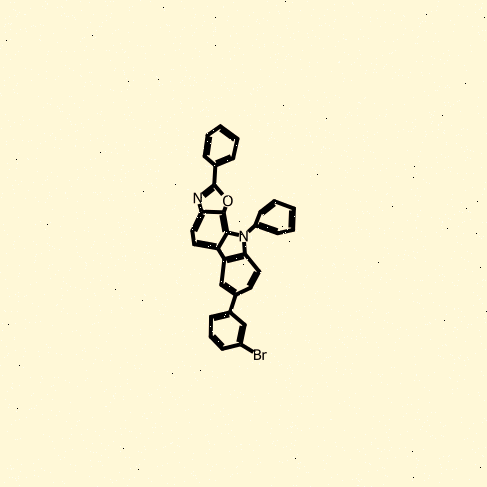 Brc1cccc(-c2ccc3c(c2)c2ccc4nc(-c5ccccc5)oc4c2n3-c2ccccc2)c1